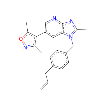 C=CCc1ccc(Cn2c(C)nc3ncc(-c4c(C)noc4C)cc32)cc1